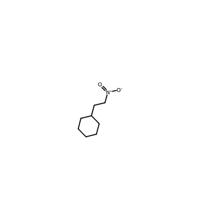 O=[N+]([O-])CCC1CCCCC1